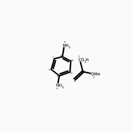 C=C(OC)C(=O)O.Nc1ccc(N)cc1